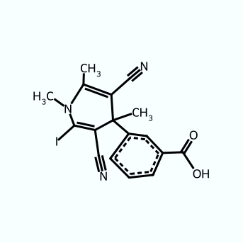 CC1=C(C#N)C(C)(c2cccc(C(=O)O)c2)C(C#N)=C(I)N1C